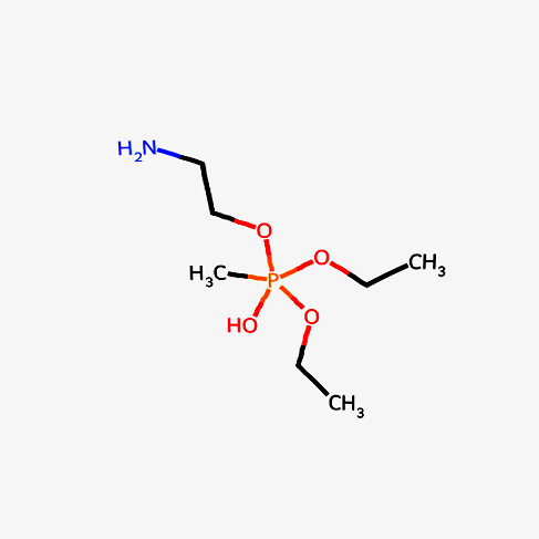 CCOP(C)(O)(OCC)OCCN